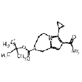 CC(C)(C)OC(=O)N1CCn2c(cc(C(N)=O)c2C2CC2)C1